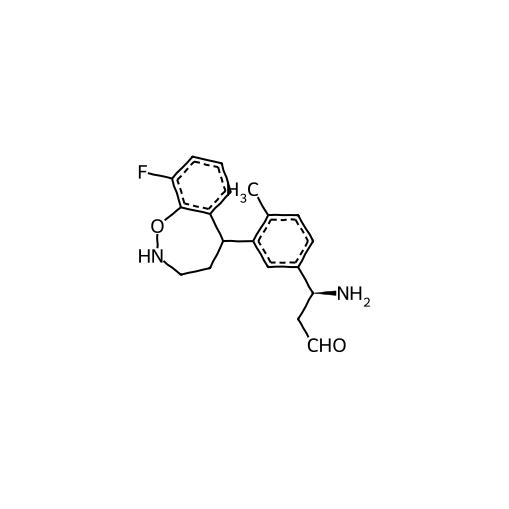 Cc1ccc([C@@H](N)CC=O)cc1C1CCNOc2c(F)cccc21